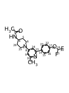 CC(=O)NC1CCN(c2cc(C)nc(-c3ccc(OC(F)F)cc3)c2)CC1